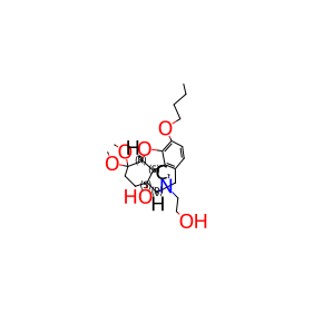 CCCCOc1ccc2c3c1O[C@H]1C(OC)(OC)CC[C@@]4(O)[C@@H](C2)N(CCO)CC[C@]314